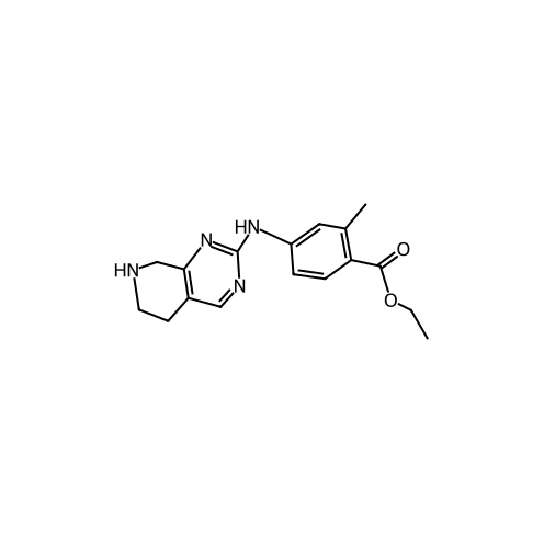 CCOC(=O)c1ccc(Nc2ncc3c(n2)CNCC3)cc1C